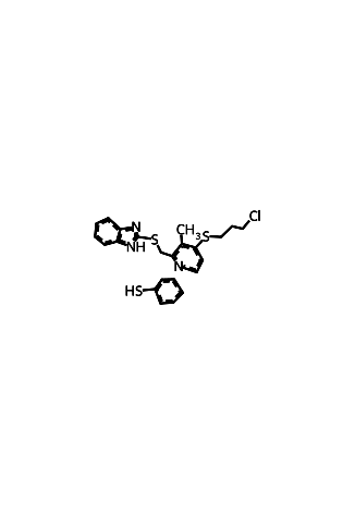 Cc1c(SCCCCl)ccnc1CSc1nc2ccccc2[nH]1.Sc1ccccc1